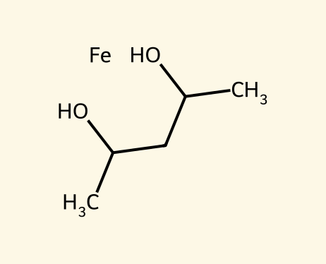 CC(O)CC(C)O.[Fe]